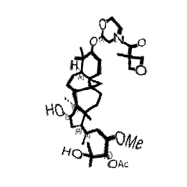 COC(C[C@@H](C)[C@H]1C[C@H](O)[C@@]2(C)C3CC[C@H]4C(C)(C)C(O[C@H]5CN(C(=O)C6(C)COC6)CCO5)CCC45CC35CCC12C)[C@H](OC(C)=O)C(C)(C)O